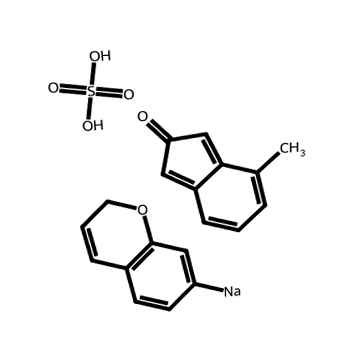 Cc1cccc2c1=CC(=O)C=2.O=S(=O)(O)O.[Na][c]1ccc2c(c1)OCC=C2